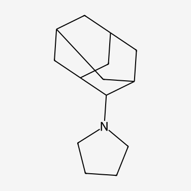 C1CCN(C2C3CC4CC(C3)CC2C4)C1